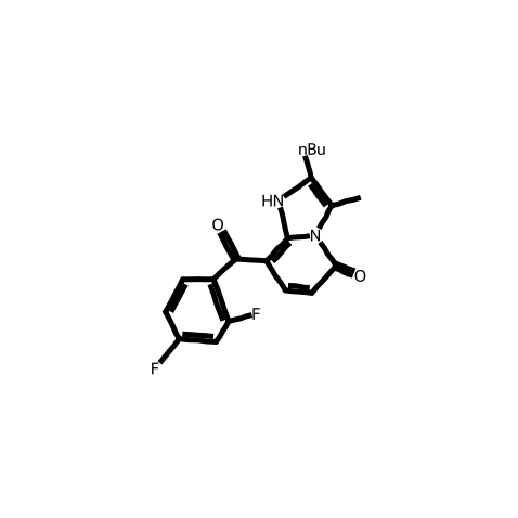 CCCCc1[nH]c2c(C(=O)c3ccc(F)cc3F)ccc(=O)n2c1C